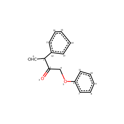 O=[C]C(C(=O)COc1ccccc1)c1ccccc1